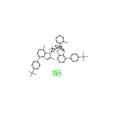 CC1=Cc2c(-c3ccc(C(C)(C)C)cc3)ccc(C)c2[CH]1[Zr]([CH3])([CH3])(=[SiH2])[CH]1C(c2ccccc2C)=Cc2c(-c3ccc(C(C)(C)C)cc3)cccc21.Cl.Cl